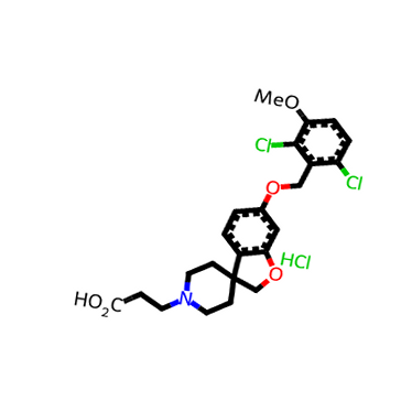 COc1ccc(Cl)c(COc2ccc3c(c2)OCC32CCN(CCC(=O)O)CC2)c1Cl.Cl